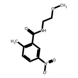 COCCNC(=O)c1cc([N+](=O)[O-])ccc1C